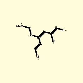 COCOC(/C=C/Cl)=C/C(Br)=C/F